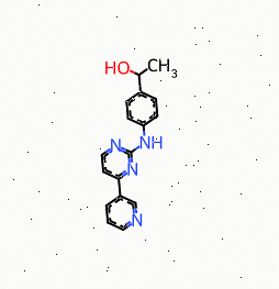 CC(O)c1ccc(Nc2nccc(-c3cccnc3)n2)cc1